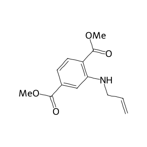 C=CCNc1cc(C(=O)OC)ccc1C(=O)OC